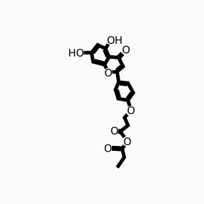 CCC(=O)OC(=O)CCOc1ccc(-c2cc(=O)c3c(O)cc(O)cc3o2)cc1